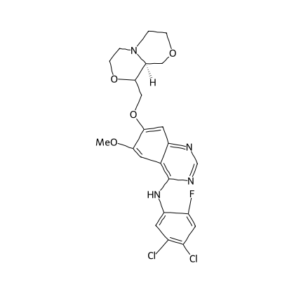 COc1cc2c(Nc3cc(Cl)c(Cl)cc3F)ncnc2cc1OCC1OCCN2CCOC[C@@H]12